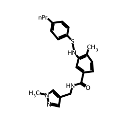 CCCc1ccc(SNc2cc(C(=O)NCc3cnn(C)c3)ccc2C)cc1